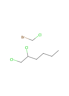 CCCCC(Cl)CCl.ClCBr